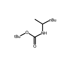 CCCCC(C)NC(=O)OC(C)(C)C